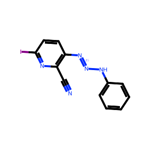 N#Cc1nc(I)ccc1/N=N/Nc1ccccc1